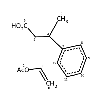 C=COC(C)=O.CC(CC(=O)O)c1ccccc1